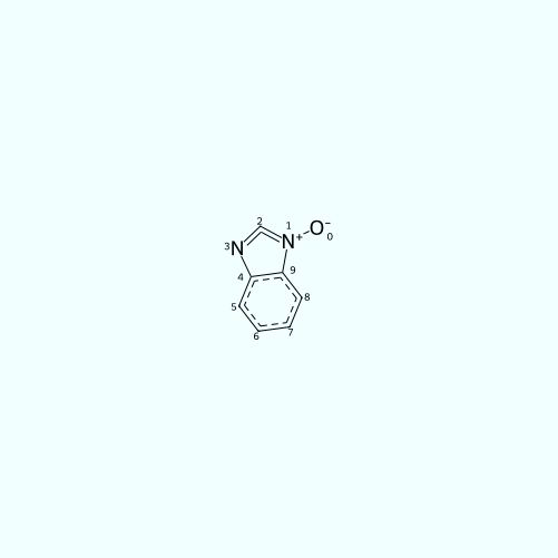 [O-][N+]1=C=Nc2ccccc21